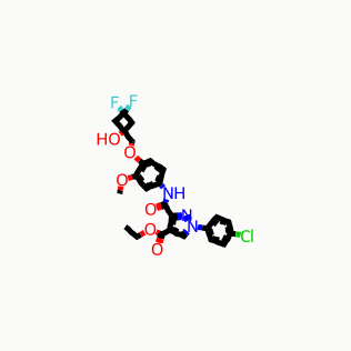 CCOC(=O)c1cn(-c2ccc(Cl)cc2)nc1C(=O)Nc1ccc(OCC2(O)CC(F)(F)C2)c(OC)c1